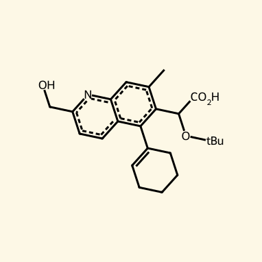 Cc1cc2nc(CO)ccc2c(C2=CCCCC2)c1C(OC(C)(C)C)C(=O)O